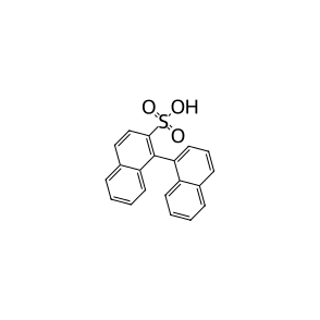 O=S(=O)(O)c1ccc2ccccc2c1-c1cccc2ccccc12